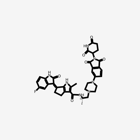 Cc1[nH]c2c(c1C(=O)N[C@@H](C)CN1CCN(c3ccc4c(c3)C(=O)N(C3CCC(=O)NC3=O)C4=O)CC1)CCC2=C1C(=O)Nc2ccc(F)cc21